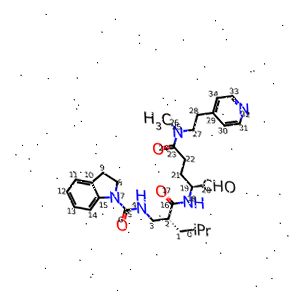 CC(C)C[C@H](CNC(=O)N1CCc2ccccc21)C(=O)N[C@H](C=O)CCC(=O)N(C)CCc1ccncc1